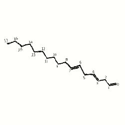 C=CCC=CCC=CCCCCCCCCCC